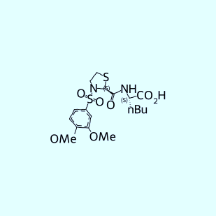 CCCC[C@H](NC(=O)[C@@H]1SCCN1S(=O)(=O)c1ccc(OC)c(OC)c1)C(=O)O